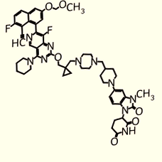 C#Cc1c(F)ccc2cc(OCOC)cc(-c3ncc4c(N5CCCCC5)nc(OCC5(CN6CCN(CC7CCN(c8ccc9c(c8)n(C)c(=O)n9C8CCC(=O)NC8=O)CC7)CC6)CC5)nc4c3F)c12